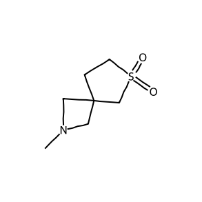 CN1CC2(CCS(=O)(=O)C2)C1